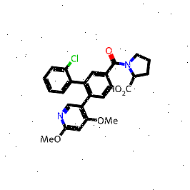 COc1cc(OC)c(-c2ccc(C(=O)N3CCCC3C(=O)O)cc2-c2ccccc2Cl)cn1